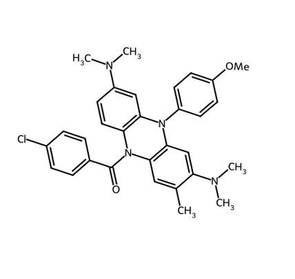 COc1ccc(N2c3cc(N(C)C)ccc3N(C(=O)c3ccc(Cl)cc3)c3cc(C)c(N(C)C)cc32)cc1